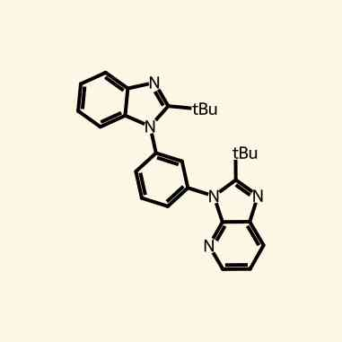 CC(C)(C)c1nc2ccccc2n1-c1cccc(-n2c(C(C)(C)C)nc3cccnc32)c1